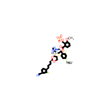 COc1cccc(C(=O)O[C@@](Cn2cncn2)(c2ccc(F)cc2F)[C@@H](C)S[C@H]2CO[C@H](/C=C/C=C/c3ccc(C#N)cc3F)OC2)c1COP(=O)([O-])[O-].[Na+].[Na+]